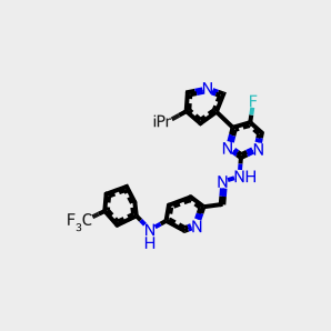 CC(C)c1cncc(-c2nc(N/N=C/c3ccc(Nc4cccc(C(F)(F)F)c4)cn3)ncc2F)c1